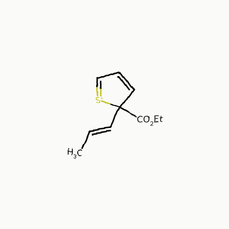 CC=CC1(C(=O)OCC)C=CC=[S+]1